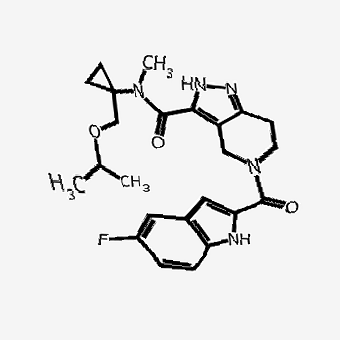 CC(C)OCC1(N(C)C(=O)c2[nH]nc3c2CN(C(=O)c2cc4cc(F)ccc4[nH]2)CC3)CC1